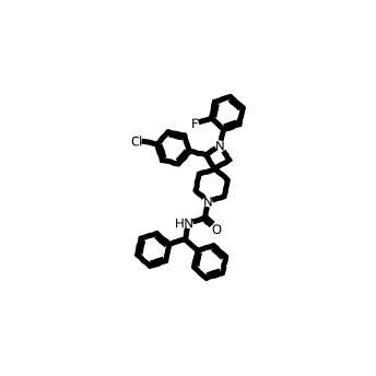 O=C(NC(c1ccccc1)c1ccccc1)N1CCC2(CC1)CN(c1ccccc1F)C2c1ccc(Cl)cc1